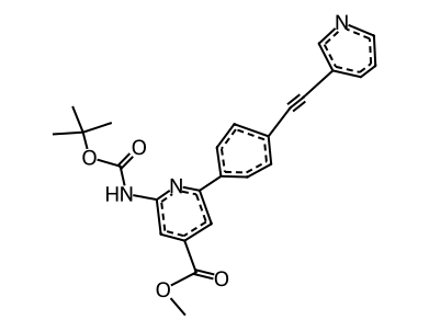 COC(=O)c1cc(NC(=O)OC(C)(C)C)nc(-c2ccc(C#Cc3cccnc3)cc2)c1